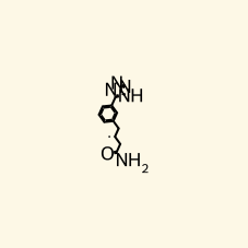 NC(=O)C[CH]Cc1cccc(-c2nnn[nH]2)c1